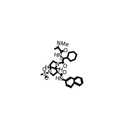 CN[C@@H](C)C(=O)N[C@H](C(=O)N1CC[C@@H]2[C@H]1[C@@H](C(=O)Nc1ccc3ccccc3c1)CN2S(C)(=O)=O)C1CCCCC1